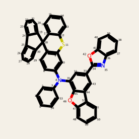 c1ccc(N(c2ccc3c(c2)Sc2ccccc2C32c3ccccc3-c3ccccc32)c2cc(-c3nc4ccccc4o3)cc3c2oc2ccccc23)cc1